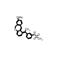 COc1ccc2c(c1)COc1ccc/c(=C(/C)c3cccc(NS(C)(=O)=O)c3)c1=C2